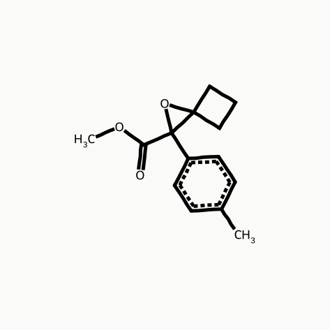 COC(=O)C1(c2ccc(C)cc2)OC12CCC2